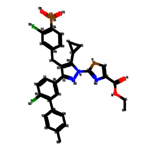 CCOC(=O)c1csc(-n2nc(-c3ccc(F)c(-c4ccc(C)cc4)c3)c(Cc3ccc([SH](=O)=O)c(F)c3)c2C2CC2)n1